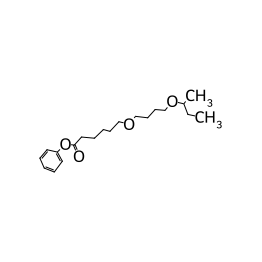 CCC(C)OCCCCOCCCCCC(=O)Oc1ccccc1